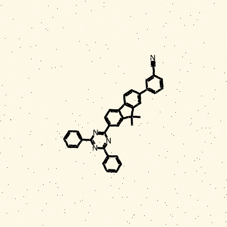 CC1(C)c2cc(-c3cccc(C#N)c3)ccc2-c2ccc(-c3nc(-c4ccccc4)nc(-c4ccccc4)n3)cc21